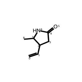 C=CC1CC(=O)NC1C